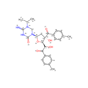 Cc1ccc(C(=O)C(O)[C@H]2O[C@@H](N3CN(C(C)C)C(=N)NC3=O)C[C@@]2(O)C(=O)c2ccc(C)cc2)cc1